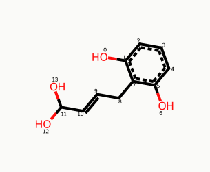 Oc1cccc(O)c1CC=CC(O)O